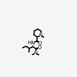 CCC(C)[C@H](NC(=O)C1CCCCN1C)C(=O)N(C)C